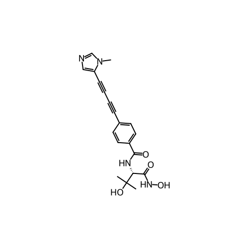 Cn1cncc1C#CC#Cc1ccc(C(=O)N[C@H](C(=O)NO)C(C)(C)O)cc1